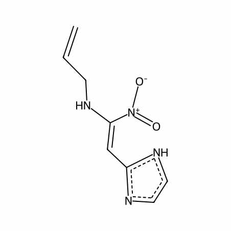 C=CCNC(=Cc1ncc[nH]1)[N+](=O)[O-]